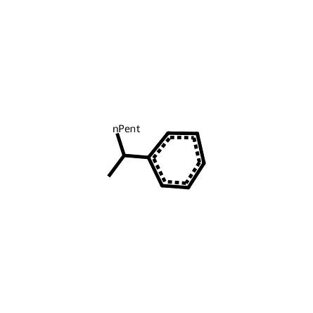 [CH2]CCCCC(C)c1ccccc1